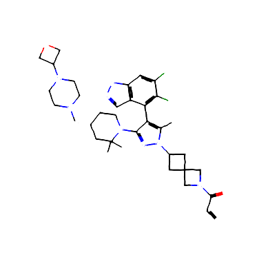 C=CC(=O)N1CC2(CC(n3nc(N4CC[C@@H](CN5CCN(C6COC6)CC5)CC4(C)C)c(-c4c(Cl)c(F)cc5[nH]ncc45)c3C)C2)C1